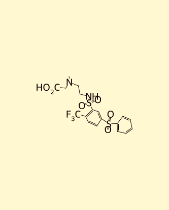 CN(CCNS(=O)(=O)c1cc(S(=O)(=O)c2ccccc2)ccc1C(F)(F)F)CC(=O)O